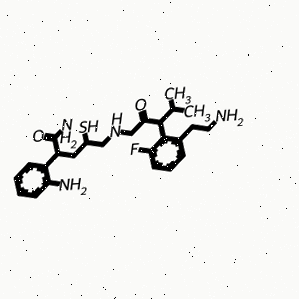 CC(C)C(C(=O)CNCC(S)CC(C(N)=O)c1ccccc1N)c1c(F)cccc1CCN